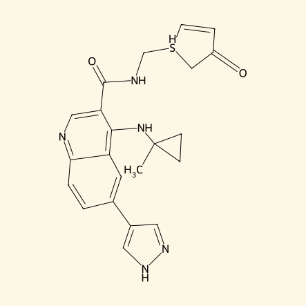 CC1(Nc2c(C(=O)NC[SH]3C=CC(=O)C3)cnc3ccc(-c4cn[nH]c4)cc23)CC1